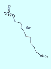 CCCCCCCCCCCCCCCCCCO[PH](=O)[O-].[Na+]